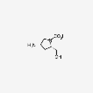 N[C@H]1C[C@@H](CO)N(C(=O)O)C1